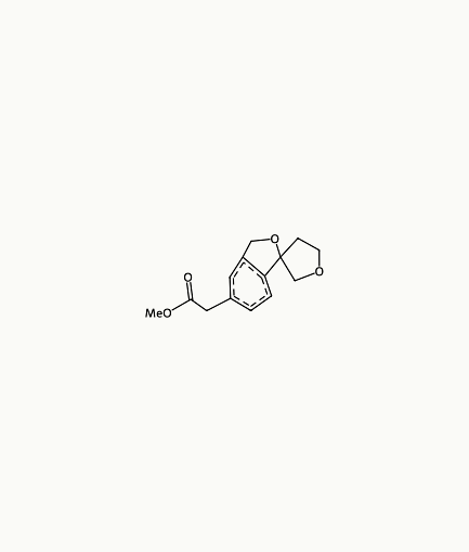 COC(=O)Cc1ccc2c(c1)COC21CCOC1